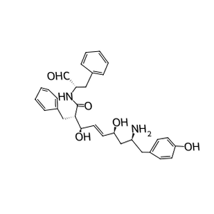 N[C@@H](Cc1ccc(O)cc1)C[C@H](O)/C=C/[C@@H](O)[C@H](Cc1ccccc1)C(=O)N[C@H](C=O)Cc1ccccc1